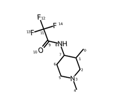 CC1CN(C)CCC1NC(=O)C(F)(F)F